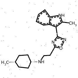 Cc1[nH]c2ccccc2c1-c1noc(CCN[C@H]2CC[C@@H](C)CC2)n1